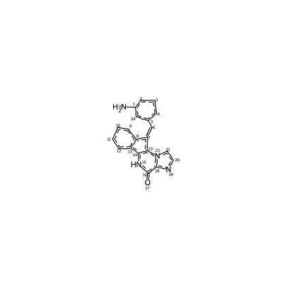 Nc1cccc(C=c2c3ccccc3c3[nH]c(=O)c4nccn4c23)c1